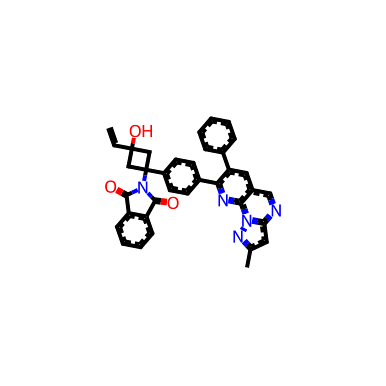 C=CC1(O)CC(c2ccc(-c3nc4c(cnc5cc(C)nn54)cc3-c3ccccc3)cc2)(N2C(=O)c3ccccc3C2=O)C1